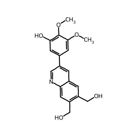 COc1cc(-c2cnc3cc(CO)c(CO)cc3c2)cc(O)c1OC